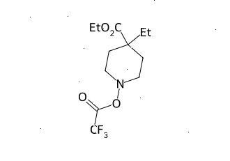 CCOC(=O)C1(CC)CCN(OC(=O)C(F)(F)F)CC1